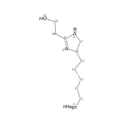 CCCCCCCCCCCCC1CNC(CCO)=N1